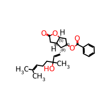 CC(C)=CCCC(C)(O)C=C[C@@H]1[C@H]2CC(=O)O[C@H]2C[C@H]1OC(=O)c1ccccc1